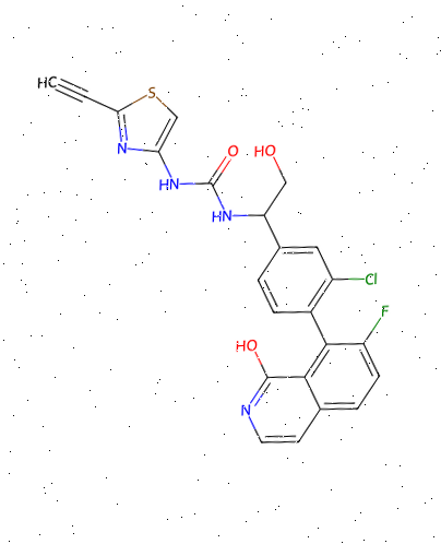 C#Cc1nc(NC(=O)NC(CO)c2ccc(-c3c(F)ccc4ccnc(O)c34)c(Cl)c2)cs1